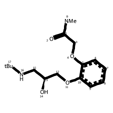 CNC(=O)COc1ccccc1OC[C@@H](O)CNC(C)(C)C